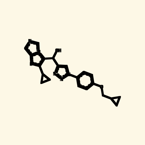 OC(c1cn(-c2ccc(OCC3CC3)cc2)nn1)c1c(C2CC2)sc2cncn12